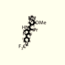 COc1cc(-c2[nH]c3cnc(C4CCN(CC(F)(F)F)CC4)c(F)c3c2C(C)C)cn2ncnc12